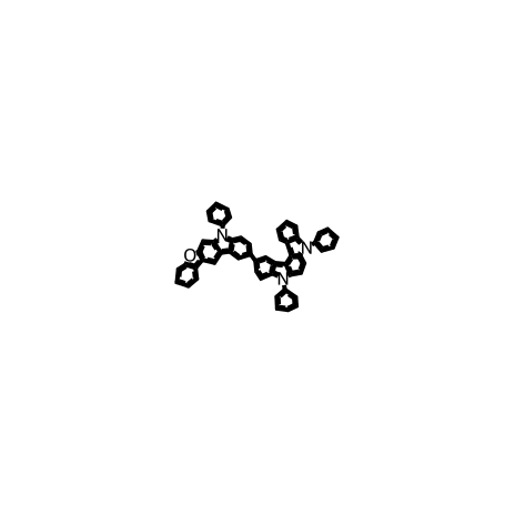 c1ccc(-n2c3ccc(-c4ccc5c(c4)c4c6c7ccccc7n(-c7ccccc7)c6ccc4n5-c4ccccc4)cc3c3cc4c(cc32)oc2ccccc24)cc1